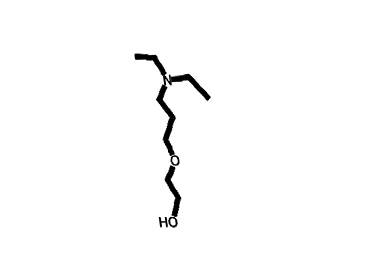 CCN(CC)CCCOCCO